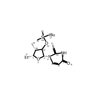 CC[C@H]1O[C@@H](n2ccc(=O)[nH]c2=S)C(O[Si](C)(C)C(C)(C)C)[C@H]1C